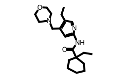 CCc1cnc(NC(=O)C2(CC)CCCCC2)cc1CN1CCOCC1